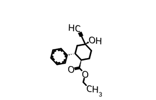 C#C[C@]1(O)CC[C@@H](C(=O)OCC)[C@H](c2ccccc2)C1